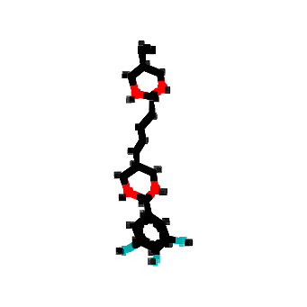 CCCC[C@H]1CO[C@H](CCCC[C@H]2CO[C@H](c3cc(F)c(F)c(F)c3)OC2)OC1